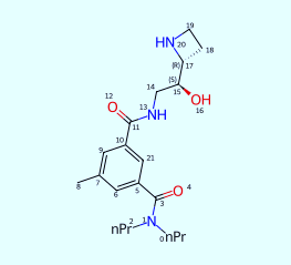 CCCN(CCC)C(=O)c1cc(C)cc(C(=O)NC[C@H](O)[C@H]2CCN2)c1